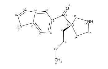 CCCC[C@]1(C(=O)c2ccc3[nH]ccc3c2)CCNC1